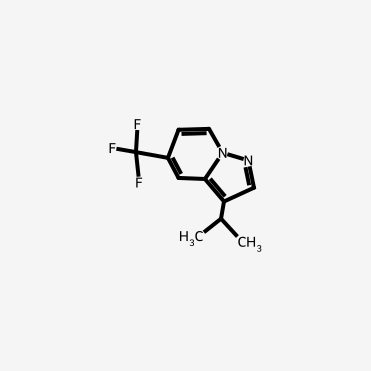 CC(C)c1cnn2ccc(C(F)(F)F)cc12